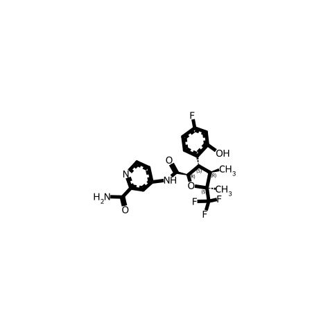 C[C@@H]1[C@@H](c2ccc(F)cc2O)[C@H](C(=O)Nc2ccnc(C(N)=O)c2)O[C@]1(C)C(F)(F)F